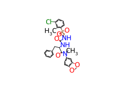 Cc1c(Cl)cccc1S(=O)(=O)NC(=O)NC(Cc1ccccc1)C(=O)N(C)c1ccc2c(c1)OCO2